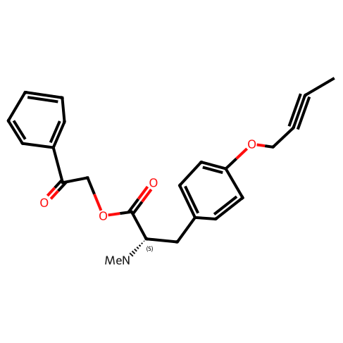 CC#CCOc1ccc(C[C@H](NC)C(=O)OCC(=O)c2ccccc2)cc1